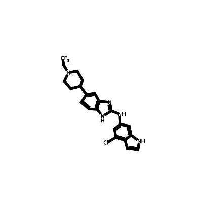 FC(F)(F)CN1CCC(c2ccc3[nH]c(Nc4cc(Cl)c5cc[nH]c5c4)nc3c2)CC1